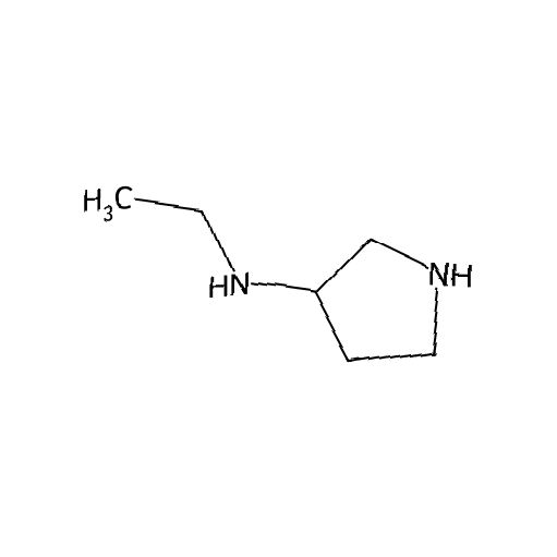 CCNC1CCNC1